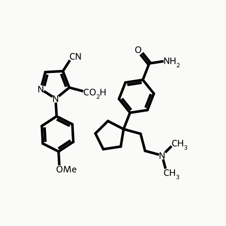 CN(C)CCC1(c2ccc(C(N)=O)cc2)CCCC1.COc1ccc(-n2ncc(C#N)c2C(=O)O)cc1